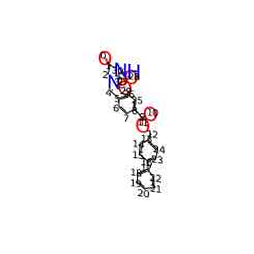 O=C1CN(Cc2ccc(C(=O)OCc3ccc(-c4ccccc4)cc3)cc2)S(=O)(=O)N1